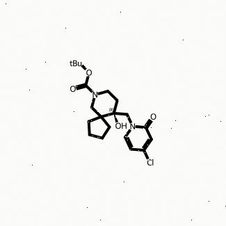 CC(C)(C)OC(=O)N1CC[C@](O)(Cn2ccc(Cl)cc2=O)C2(CCCC2)C1